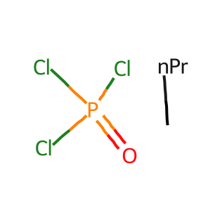 CCCC.O=P(Cl)(Cl)Cl